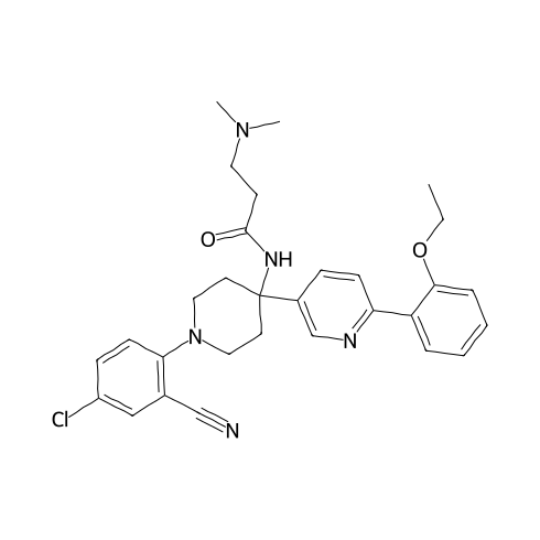 CCOc1ccccc1-c1ccc(C2(NC(=O)CCN(C)C)CCN(c3ccc(Cl)cc3C#N)CC2)cn1